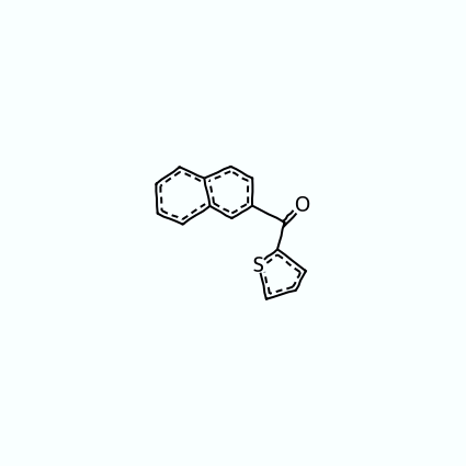 O=C(c1ccc2ccccc2c1)c1cccs1